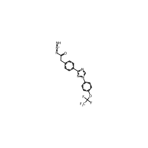 N=[N+]=NC(=O)Cc1ccc(-c2ncn(-c3ccc(OC(F)(F)C(F)(F)F)cc3)n2)cc1